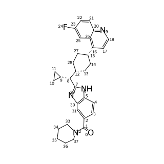 O=C(c1ccc2[nH]c([C@H](C3CC3)[C@H]3CC[C@@H](c4ccnc5ccc(F)cc54)CC3)nc2c1)N1CCCCC1